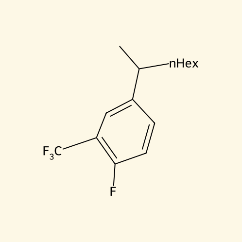 CCCCCCC(C)c1ccc(F)c(C(F)(F)F)c1